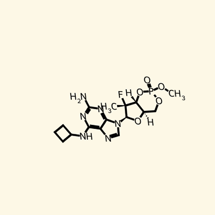 COP1(=O)OC[C@H]2O[C@@H](n3cnc4c(NC5CCC5)nc(N)nc43)[C@](C)(F)[C@@H]2O1